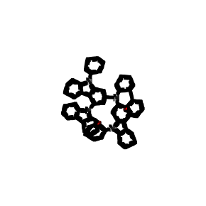 c1ccc(-c2ccccc2N(c2ccc3c4ccccc4n(-c4ccccc4)c3c2)c2cc(-n3c4ccccc4c4ccccc43)c3c4ccccc4n(-c4ccccc4)c3c2)cc1